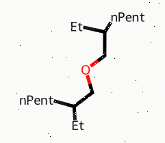 CCCCCC(CC)COCC(CC)CCCCC